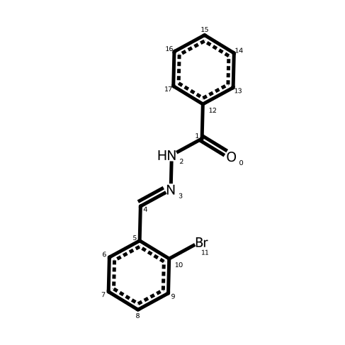 O=C(N/N=C/c1ccccc1Br)c1ccccc1